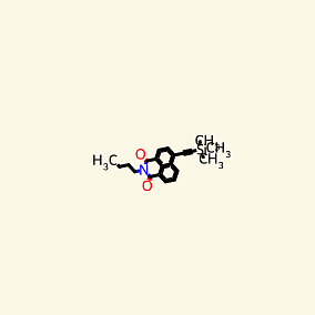 CCCCN1C(=O)c2cccc3c(C#C[Si](C)(C)C)ccc(c23)C1=O